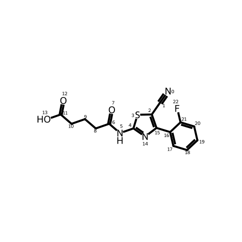 N#Cc1sc(NC(=O)CCCC(=O)O)nc1-c1ccccc1F